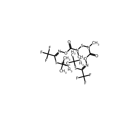 CN(SN(C)C(=O)ON=C(SC(C)(C)C)C(F)(F)F)C(=O)ON=C(SC(C)(C)C)C(F)(F)F